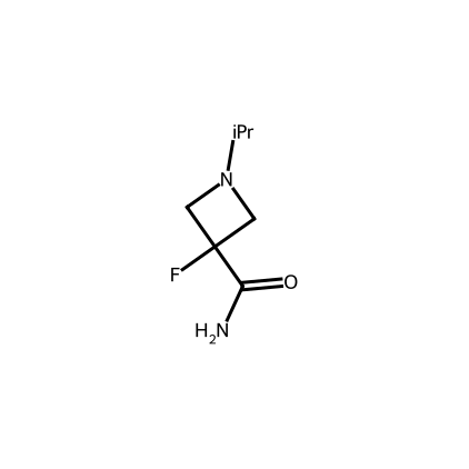 CC(C)N1CC(F)(C(N)=O)C1